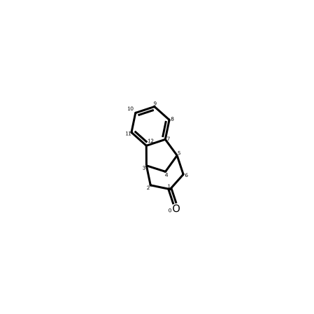 O=C1CC2CC(C1)c1ccccc12